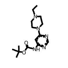 CCN1CCN(c2cc(NC(=O)OC(C)(C)C)ncn2)CC1